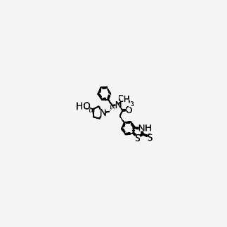 CN(C(=O)Cc1ccc2sc(=S)[nH]c2c1)[C@H](CN1CC[C@H](O)C1)c1ccccc1